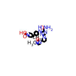 CN1CCN([C@@H]2CCCN(c3cnc(C(N)=O)c(Nc4ccc(C5(C)CCN(C(=O)O)CC5)cc4)n3)C2)C1=O